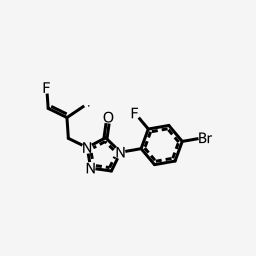 [CH2]/C(=C\F)Cn1ncn(-c2ccc(Br)cc2F)c1=O